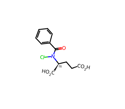 O=C(O)CC[C@@H](C(=O)O)N(Cl)C(=O)c1ccccc1